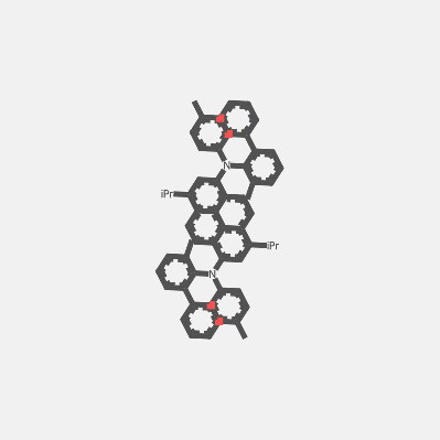 Cc1ccc(N(c2c(C)cccc2-c2ccccc2)c2cc(C(C)C)c3ccc4c(N(c5ccc(C)cc5)c5c(C)cccc5-c5ccccc5)cc(C(C)C)c5ccc2c3c54)cc1